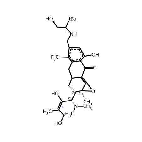 C/C(CO)=C(\O)[C@H]([C@@H]1CC2Cc3c(c(O)cc(CNC(CO)C(C)(C)C)c3C(F)(F)F)C(=O)C2=C2O[C@]21C)N(C)C